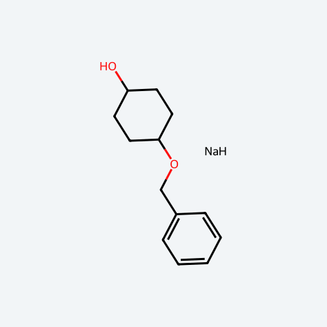 OC1CCC(OCc2ccccc2)CC1.[NaH]